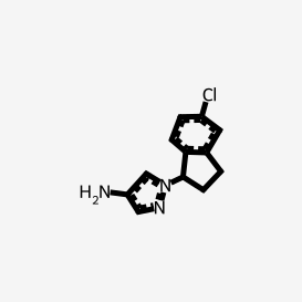 Nc1cnn(C2CCc3cc(Cl)ccc32)c1